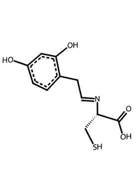 O=C(O)[C@H](CS)N=CCc1ccc(O)cc1O